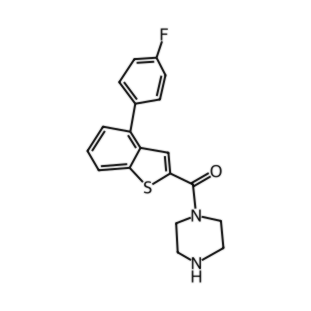 O=C(c1cc2c(-c3ccc(F)cc3)cccc2s1)N1CCNCC1